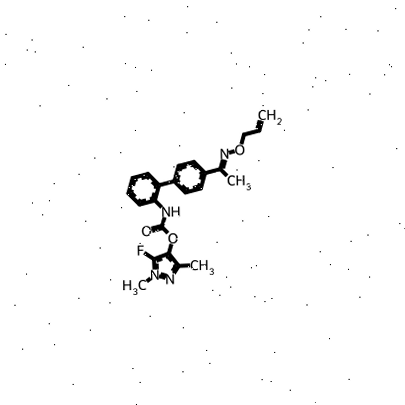 C=CCON=C(C)c1ccc(-c2ccccc2NC(=O)Oc2c(C)nn(C)c2F)cc1